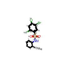 COc1ccccc1NS(=O)(=O)c1cc(Br)c(Cl)cc1F